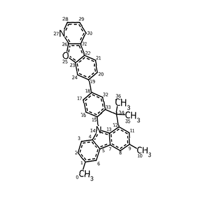 Cc1ccc2c(c1)c1cc(C)cc3c1n2-c1ccc(-c2ccc4c(c2)oc2ncccc24)cc1C3(C)C